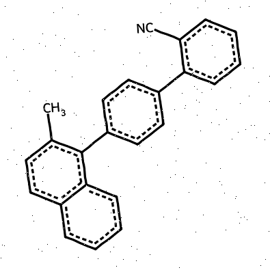 Cc1ccc2ccccc2c1-c1ccc(-c2ccccc2C#N)cc1